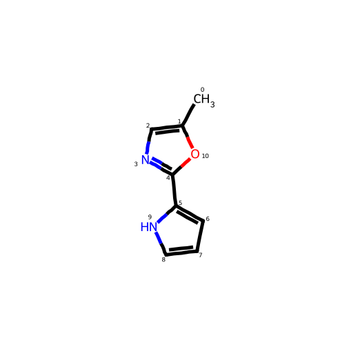 Cc1cnc(-c2ccc[nH]2)o1